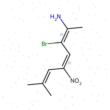 CC(C)=C/C(=C\C(Br)=C(/C)N)[N+](=O)[O-]